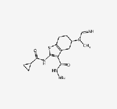 CCCCNC(=O)c1c(NC(=O)C2CC2)sc2c1CC(N(C)C=N)CC2